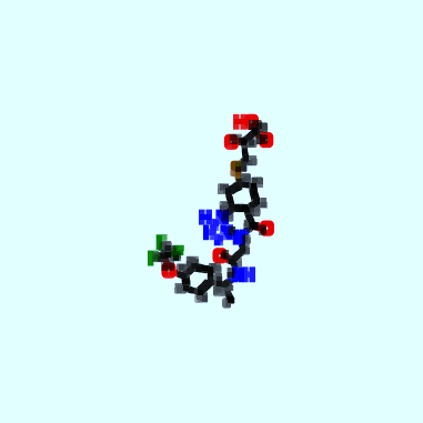 C[C@H](NC(=O)CN(N)C(=O)c1ccc(SCC(=O)C(=O)O)cc1N)c1ccc(OC(F)(F)F)cc1